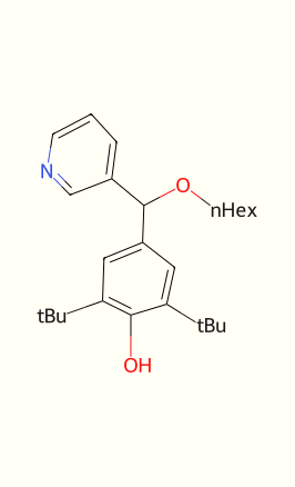 CCCCCCOC(c1cccnc1)c1cc(C(C)(C)C)c(O)c(C(C)(C)C)c1